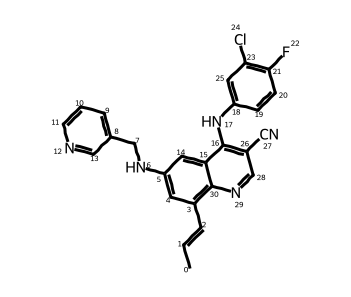 CC=Cc1cc(NCc2cccnc2)cc2c(Nc3ccc(F)c(Cl)c3)c(C#N)cnc12